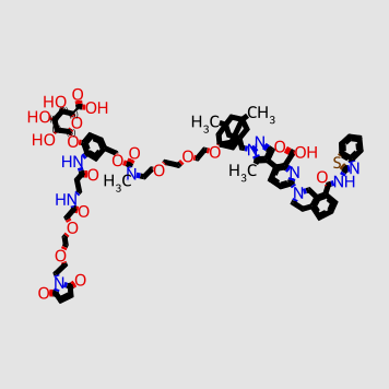 Cc1c(-c2ccc(N3CCc4cccc(C(=O)Nc5nc6ccccc6s5)c4C3)nc2C(=O)O)cnn1CC12CC3(C)CC(C)(C1)CC(OCCOCCOCCN(C)C(=O)OCc1ccc(O[C@@H]4O[C@H](C(=O)O)[C@H](O)[C@H](O)[C@@H]4O)c(NC(=O)CCNC(=O)COCCOCCN4C(=O)C=CC4=O)c1)(C3)C2